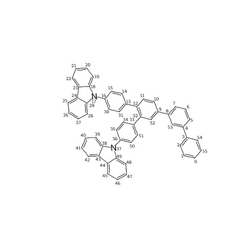 c1ccc(-c2cccc(-c3ccc(-c4ccc(-n5c6ccccc6c6ccccc65)cc4)c(-c4ccc(-n5c6ccccc6c6ccccc65)cc4)c3)c2)cc1